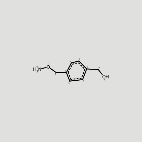 NOCc1ccc(CO)cc1